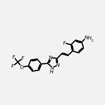 Nc1ccc(/C=C/c2n[nH]c(-c3ccc(OC(F)(F)F)cc3)n2)c(F)c1